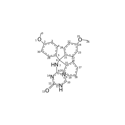 COc1ccc(C(Nc2nc[nH]c(=O)n2)(c2ccccc2)c2ccc(OC)cc2)cc1